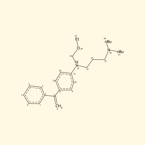 C=C(c1ccccc1)c1ccc([SiH](CCCN(CCCC)CCCC)COCC)cc1